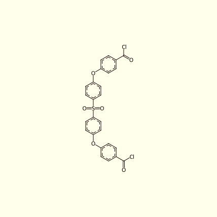 O=C(Cl)c1ccc(Oc2ccc(S(=O)(=O)c3ccc(Oc4ccc(C(=O)Cl)cc4)cc3)cc2)cc1